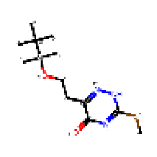 CSc1nc(=O)c(CCO[Si](C)(C)C(C)(C)C)n[nH]1